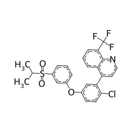 CC(C)S(=O)(=O)c1cccc(Oc2ccc(Cl)c(-c3ccnc4c(C(F)(F)F)cccc34)c2)c1